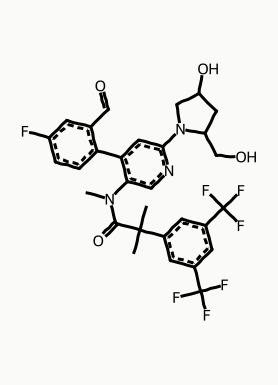 CN(C(=O)C(C)(C)c1cc(C(F)(F)F)cc(C(F)(F)F)c1)c1cnc(N2CC(O)CC2CO)cc1-c1ccc(F)cc1C=O